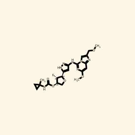 COCc1cn2c(Nc3cc([C@H]4OC[C@@H](OC(=O)NC5(C)CC5)[C@@H]4F)[nH]n3)nc(OC)cc2n1